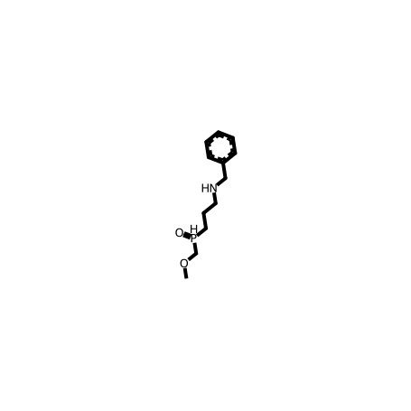 COC[PH](=O)CCCNCc1ccccc1